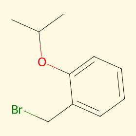 CC(C)Oc1ccccc1CBr